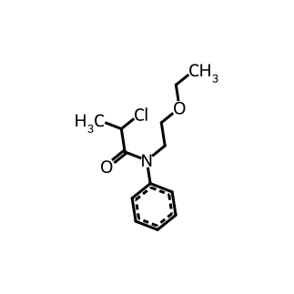 CCOCCN(C(=O)C(C)Cl)c1ccccc1